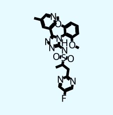 COc1cccc(OC)c1-n1c(NS(=O)(=O)C(C)Cc2ncc(F)cn2)nnc1-c1cncc(C)c1